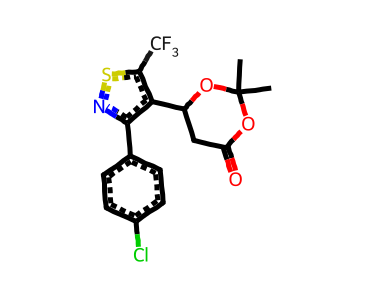 CC1(C)OC(=O)CC(c2c(-c3ccc(Cl)cc3)nsc2C(F)(F)F)O1